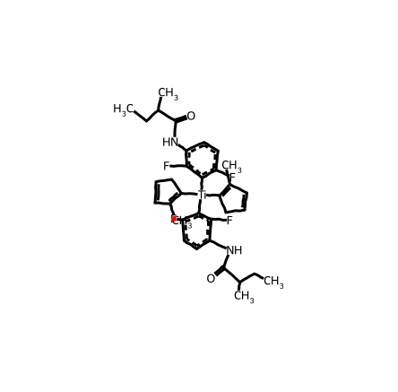 CCC(C)C(=O)Nc1ccc(F)[c]([Ti]([C]2=C(C)C=CC2)([C]2=C(C)C=CC2)[c]2c(F)ccc(NC(=O)C(C)CC)c2F)c1F